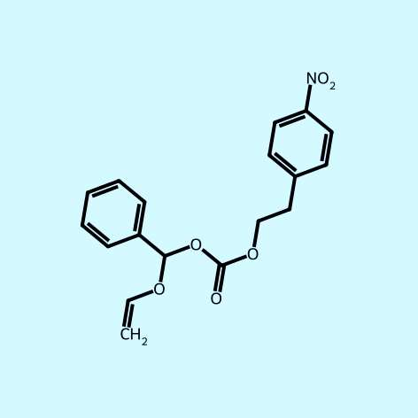 C=COC(OC(=O)OCCc1ccc([N+](=O)[O-])cc1)c1ccccc1